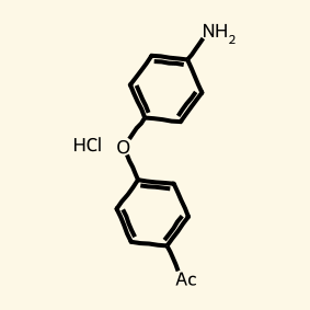 CC(=O)c1ccc(Oc2ccc(N)cc2)cc1.Cl